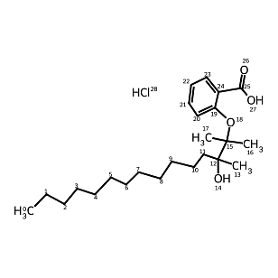 CCCCCCCCCCCCC(C)(O)C(C)(C)Oc1ccccc1C(=O)O.Cl